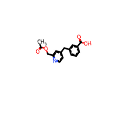 CC(=O)OCc1cc(Cc2cccc(C(=O)O)c2)ccn1